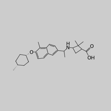 Cc1c(O[C@H]2CC[C@@H](C)CC2)ccc2cc(C(C)NC3CC(C(=O)O)C3(C)C)ccc12